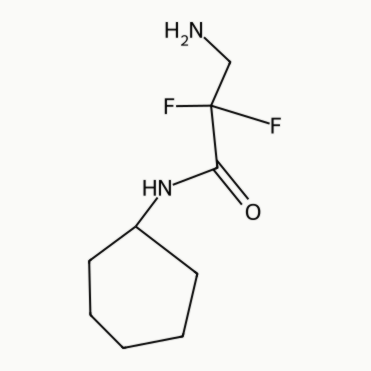 NCC(F)(F)C(=O)NC1CCCCC1